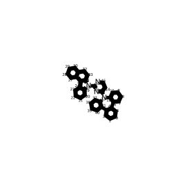 c1ccc2c(c1)-c1ccccc1N(c1ccnc(-n3c4ccccc4c4c5ccccc5ccc43)n1)c1ccccc1-2